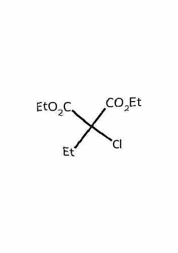 CCOC(=O)C(Cl)(CC)C(=O)OCC